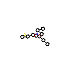 c1ccc(-c2ccc(-c3ccc(N(c4ccc(-c5ccc6c(c5)sc5ccccc56)cc4)c4cccc(-c5ccccc5)c4-c4ccccc4-c4ccccc4)cc3)cc2)cc1